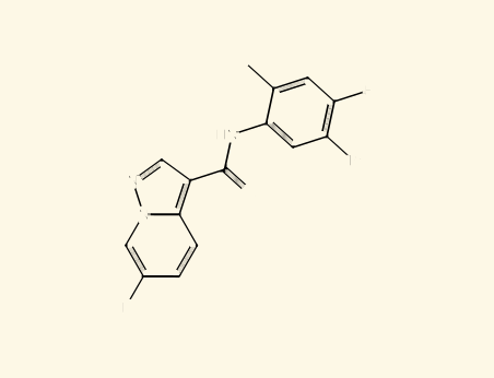 Cc1cc(F)c(Br)cc1NC(=O)c1cnn2cc(F)ccc12